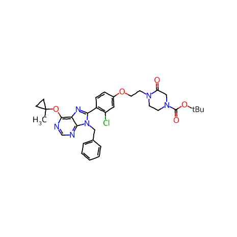 CC(C)(C)OC(=O)N1CCN(CCOc2ccc(-c3nc4c(OC5(C)CC5)ncnc4n3Cc3ccccc3)c(Cl)c2)C(=O)C1